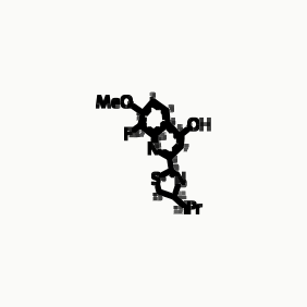 COc1ccc2c(O)cc(C3=NC(C(C)C)CS3)nc2c1F